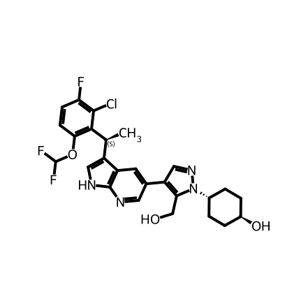 C[C@H](c1c(OC(F)F)ccc(F)c1Cl)c1c[nH]c2ncc(-c3cnn([C@H]4CC[C@H](O)CC4)c3CO)cc12